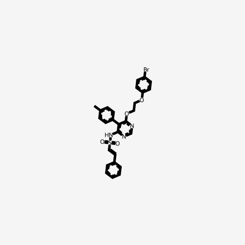 Cc1ccc(-c2c(NS(=O)(=O)C=Cc3ccccc3)ncnc2OCCOc2ccc(Br)cc2)cc1